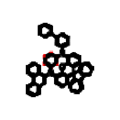 c1ccc(-c2cccc(N(c3ccccc3)c3cccc4c3Oc3c(N(c5ccccc5)c5cc6ccccc6c6ccccc56)cccc3C43c4ccccc4-c4ccccc43)c2)cc1